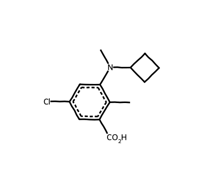 Cc1c(C(=O)O)cc(Cl)cc1N(C)C1CCC1